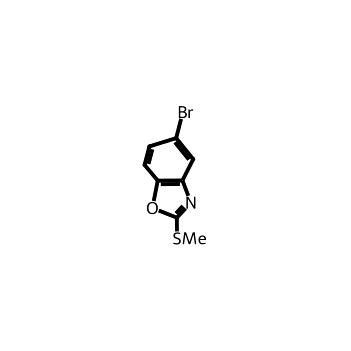 CSc1nc2cc(Br)ccc2o1